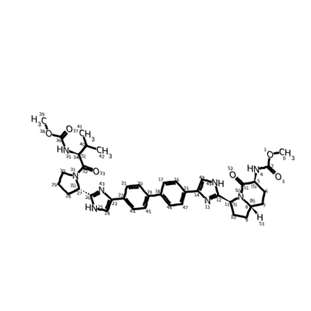 COC(=O)N[C@H]1CC[C@@H]2CC[C@@H](c3nc(-c4ccc(-c5ccc(-c6c[nH]c([C@@H]7CCCN7C(=O)[C@@H](NC(=O)OC)C(C)C)n6)cc5)cc4)c[nH]3)N2C1=O